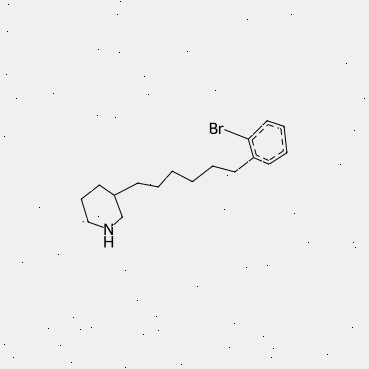 Brc1ccccc1CCCCCCC1CC[CH]NC1